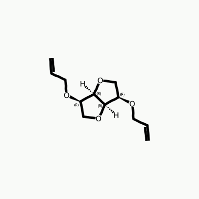 C=CCO[C@@H]1CO[C@H]2[C@@H]1OC[C@H]2OCC=C